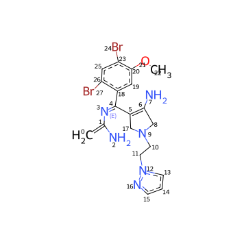 C=C(N)/N=C(\C1=C(N)CN(CCn2cccn2)C1)c1cc(OC)c(Br)cc1Br